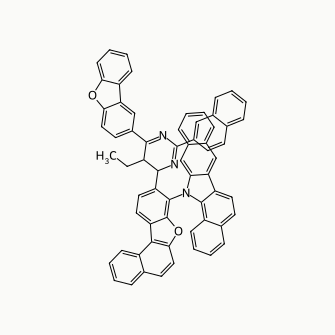 CCC1C(c2ccc3oc4ccccc4c3c2)=NC(c2ccc3ccccc3c2)=NC1c1ccc2c(oc3ccc4ccccc4c32)c1-n1c2cc3ccccc3cc2c2ccc3ccccc3c21